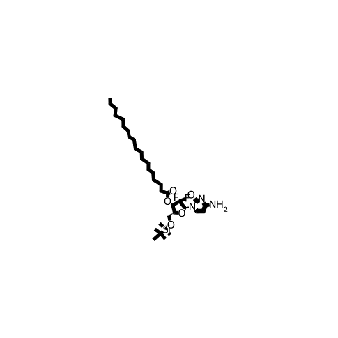 CCCCCCCCCCCCCCCCCCC(=O)O[C@@H]1[C@@H](CO[Si](C)(C)C(C)(C)C)O[C@@H](n2ccc(N)nc2=O)C1(F)F